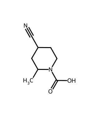 CC1CC(C#N)CCN1C(=O)O